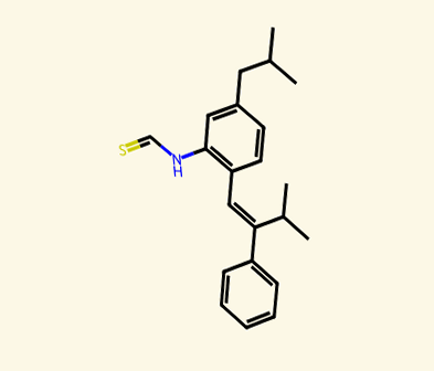 CC(C)Cc1ccc(/C=C(/c2ccccc2)C(C)C)c(NC=S)c1